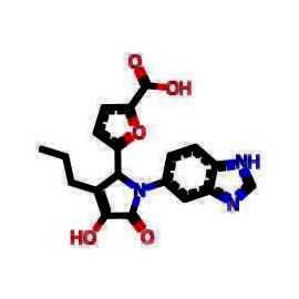 CCCC1=C(O)C(=O)N(c2ccc3[nH]cnc3c2)C1c1ccc(C(=O)O)o1